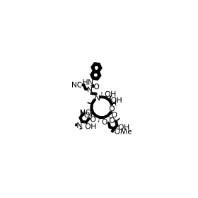 CO[C@]1(C)C[C@H](O[C@H]2[C@H](C)[C@@H](O[C@@H]3O[C@H](C)C[C@H](N(C)C)[C@H]3O)[C@](C)(O)C[C@@H](C)CN(CCN(CCC#N)C(=O)Nc3ccc4ccccc4c3)[C@H](C)[C@@H](O)[C@](C)(O)[C@@H](I)OC(=O)[C@@H]2C)O[C@@H](C)[C@@H]1O